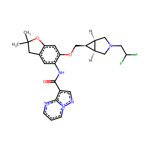 CC1(C)Cc2cc(NC(=O)c3cnn4cccnc34)c(OC[C@H]3[C@H]4CN(CC(F)F)C[C@@H]34)cc2O1